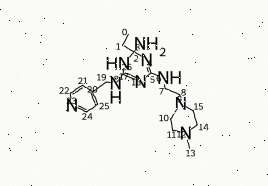 CCC1(N)N=C(NCCN2CCN(C)CC2)N=C(NCc2ccncc2)N1